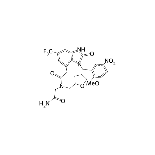 COc1ccc([N+](=O)[O-])cc1Cn1c(=O)[nH]c2cc(C(F)(F)F)cc(CC(=O)N(CC(N)=O)CC3CCCO3)c21